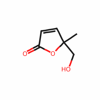 CC1(CO)C=CC(=O)O1